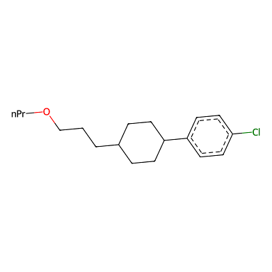 CCCOCCCC1CCC(c2ccc(Cl)cc2)CC1